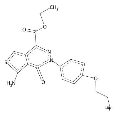 CCOC(=O)c1nn(-c2ccc(OCC[18F])cc2)c(=O)c2c(N)scc12